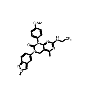 COc1ccc(N2C(=O)N(c3ccc4nn(C)cc4c3)Cc3c(C)nc(NCC(F)(F)F)nc32)cc1